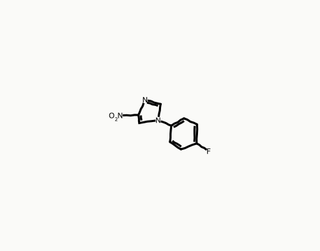 O=[N+]([O-])c1cn(-c2ccc(F)cc2)cn1